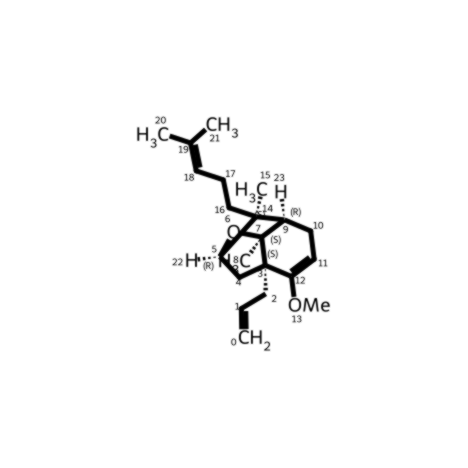 C=CC[C@]12C[C@H]3O[C@@]1(C)[C@H](CC=C2OC)[C@]3(C)CCC=C(C)C